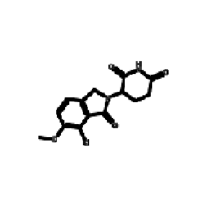 COc1ccc2c(c1Cl)C(=O)N(C1CCC(=O)NC1=O)C2